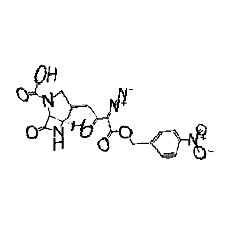 [N-]=[N+]=C(C(=O)CC1CN(C(=O)O)C2C(=O)N[C@H]12)C(=O)OCc1ccc([N+](=O)[O-])cc1